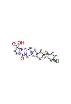 O=C(O)c1ccn(C(=O)N2CCN(Cc3cccc(Oc4ccc(Cl)cc4)c3)CC2)n1